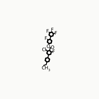 CCCc1ccc(-c2cc(F)c(C(=O)Oc3ccc(-c4cc(F)c(F)c(F)c4)c(F)c3)c(Cl)c2)cc1